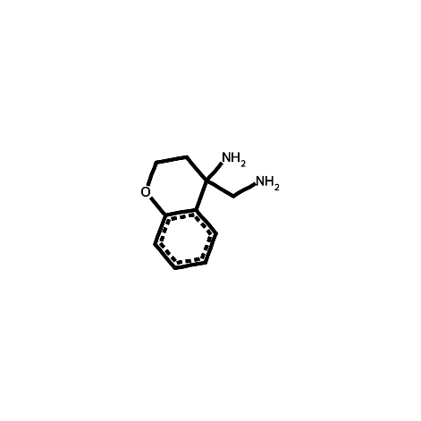 NCC1(N)CCOc2ccccc21